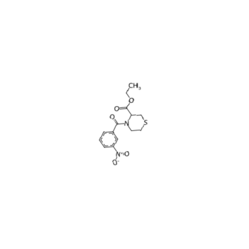 CCOC(=O)C1CSCCN1C(=O)c1cccc([N+](=O)[O-])c1